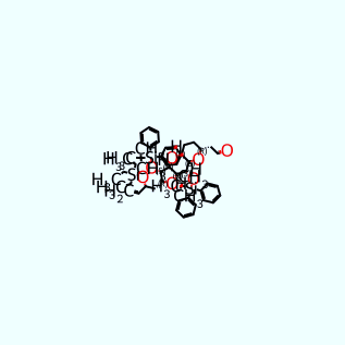 C=CC(C[C@H]1O[C@H]2[C@@H](O[Si](c3ccccc3)(c3ccccc3)C(C)(C)C)[C@H]3O[C@@H](CC=O)CC[C@@H]3O[C@H]2[C@H]1O[Si](c1ccccc1)(c1ccccc1)C(C)(C)C)O[Si](CC)(CC)CC